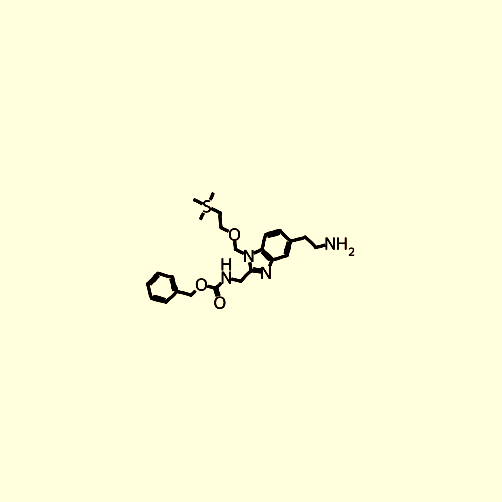 CS(C)(C)CCOCn1c(CNC(=O)OCc2ccccc2)nc2cc(CCN)ccc21